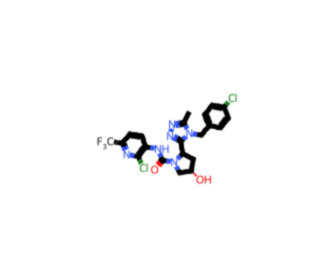 Cc1nnc(C2C[C@H](O)CN2C(=O)Nc2ccc(C(F)(F)F)nc2Cl)n1Cc1ccc(Cl)cc1